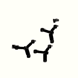 O=[Se]([O-])[O-].O=[Se]([O-])[O-].O=[Se]([O-])[O-].[Na+].[V+5]